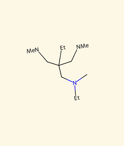 CCN(C)CC(CC)(CNC)CNC